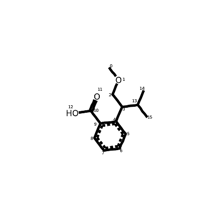 COCC(c1ccccc1C(=O)O)C(C)C